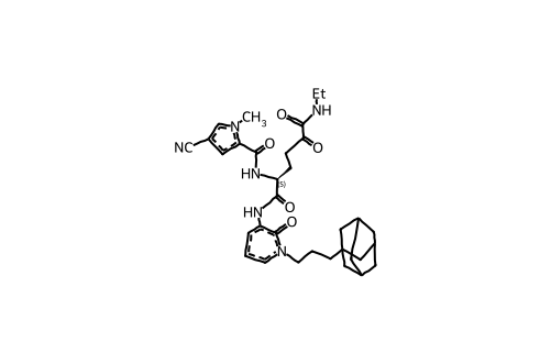 CCNC(=O)C(=O)CC[C@H](NC(=O)c1cc(C#N)cn1C)C(=O)Nc1cccn(CCCC23CC4CC(CC(C4)C2)C3)c1=O